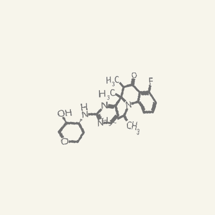 CC(C)N1c2cccc(F)c2C(=O)C(C)C1(C)c1ccnc(N[C@@H]2CCOC[C@H]2O)n1